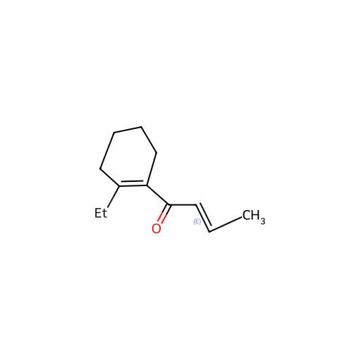 C/C=C/C(=O)C1=C(CC)CCCC1